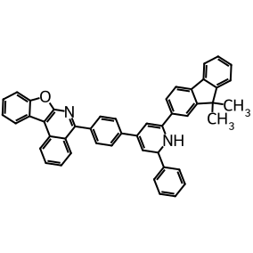 CC1(C)c2ccccc2-c2ccc(C3=CC(c4ccc(-c5nc6oc7ccccc7c6c6ccccc56)cc4)=CC(c4ccccc4)N3)cc21